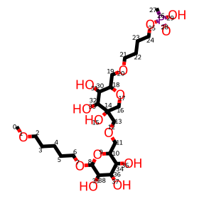 COCCCCCOC1OC(COCC2(O)COC(COCCCCOP(C)(=O)O)C(O)C2O)C(O)C(O)C1O